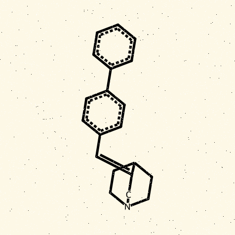 C(=C1\CN2CCC1CC2)/c1ccc(-c2ccccc2)cc1